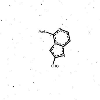 CSc1nccc2nc(C=O)cn12